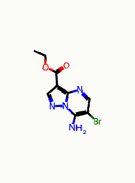 CCOC(=O)c1cnn2c(N)c(Br)cnc12